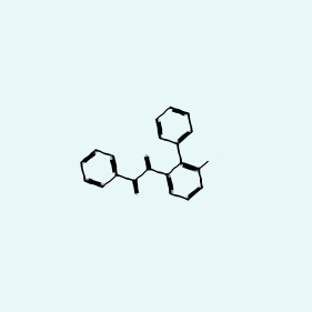 Cc1cccc(C(=O)C(=O)c2ccccc2)c1-c1ccccc1